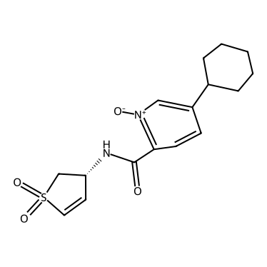 O=C(N[C@@H]1C=CS(=O)(=O)C1)c1ccc(C2CCCCC2)c[n+]1[O-]